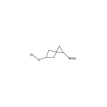 CCOC1CC2(C1)CC2NC(C)=O